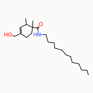 CCCCCCCCCCCCNC(=O)C1(C)CCC(CO)=CC1C